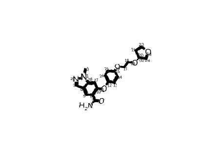 Cn1ncc2cc(C(N)=O)c(Oc3ccc(OCCO[C@H]4CCOC4)cc3)cc21